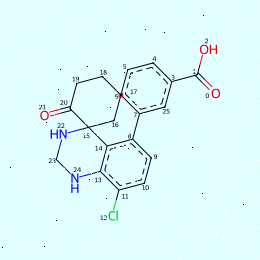 O=C(O)c1cccc(-c2ccc(Cl)c3c2C2(CCCCC2=O)NCN3)c1